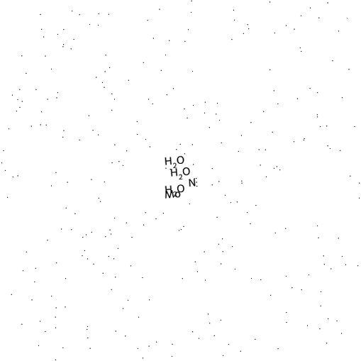 O.O.O.[Mo].[N]